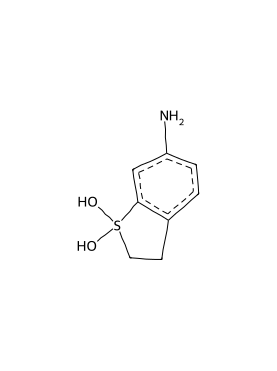 Nc1ccc2c(c1)S(O)(O)CC2